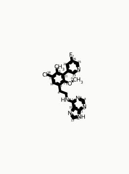 COc1c(CCNc2ncnc3[nH]cnc23)cc(Cl)c(C)c1-c1cncc(F)c1